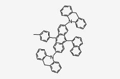 Cc1ccc(-c2c3cc(N4c5ccccc5Cc5ccccc54)ccc3c(-c3cccc4ccccc34)c3cc(N4c5ccccc5Cc5ccccc54)ccc23)cc1